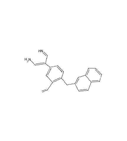 C=Cc1cc(/C(C=N)=C/N)ccc1Cc1ccc2ccccc2c1